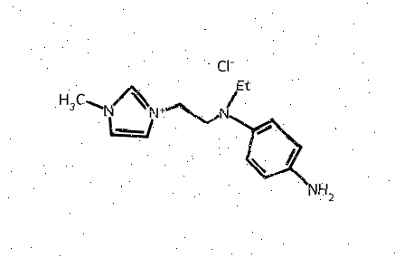 CCN(CC[n+]1ccn(C)c1)c1ccc(N)cc1.[Cl-]